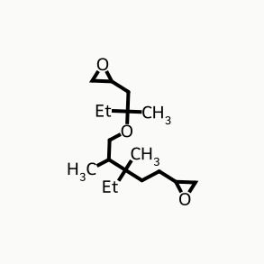 CCC(C)(CC1CO1)OCC(C)C(C)(CC)CCC1CO1